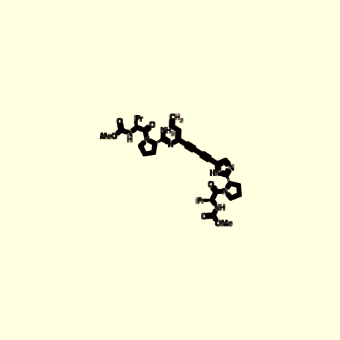 C=C/C=C(C#CC#Cc1cnc([C@@H]2CCCN2C(=O)[C@@H](NC(=O)OC)C(C)C)[nH]1)\N=C(/N)[C@@H]1CCCN1C(=O)[C@@H](NC(=O)OC)C(C)C